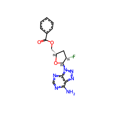 Nc1ncnc2c1nnn2[C@H]1O[C@H](COC(=O)c2ccccc2)C[C@@H]1F